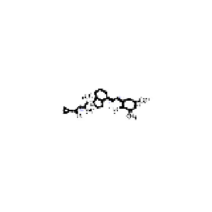 C=C1/C(=C\C=C2/CCC[C@@]3(C)C2CC[C@@H]3C/C(O)=C/C(=O)C2CC2)C[C@@H](O)C[C@@H]1O